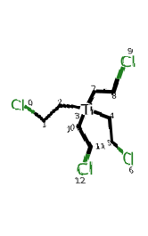 ClC[CH2][Ti]([CH2]CCl)([CH2]CCl)[CH2]CCl